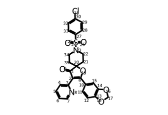 O=C1C(c2ccccn2)=C(c2ccc3c(c2)OCO3)OC12CCN(S(=O)(=O)c1ccc(Cl)cc1)CC2